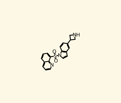 O=S(=O)(c1cccc2cccnc12)n1ccc2cc(C3CNC3)ccc21